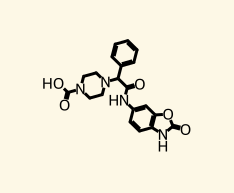 O=C(Nc1ccc2[nH]c(=O)oc2c1)C(c1ccccc1)N1CCN(C(=O)O)CC1